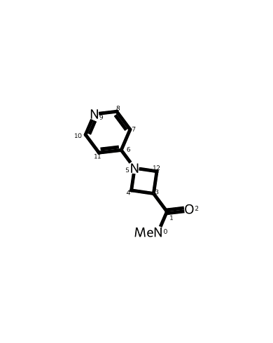 CNC(=O)C1CN(c2ccncc2)C1